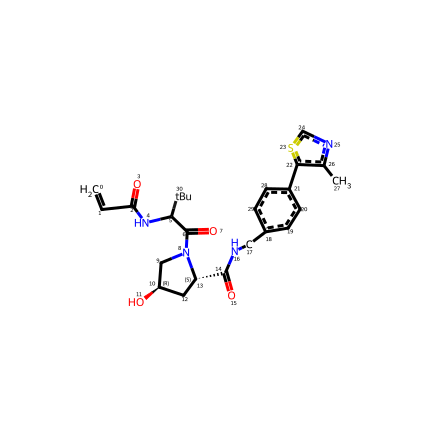 C=CC(=O)NC(C(=O)N1C[C@H](O)C[C@H]1C(=O)NCc1ccc(-c2scnc2C)cc1)C(C)(C)C